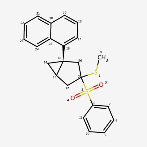 CSC1(S(=O)(=O)c2ccccc2)CC2C[C@]2(c2cccc3ccccc23)C1